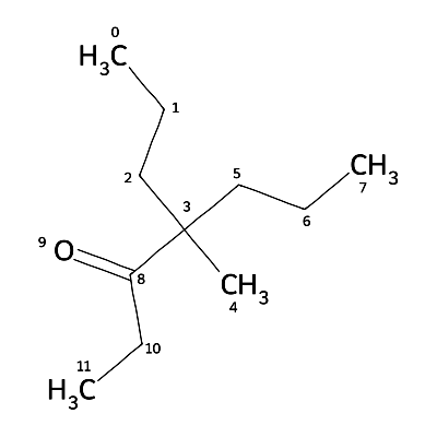 CCCC(C)(CCC)C(=O)CC